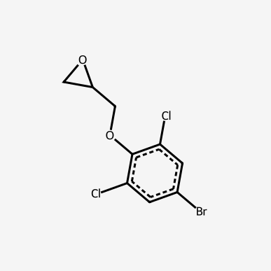 Clc1cc(Br)cc(Cl)c1OCC1CO1